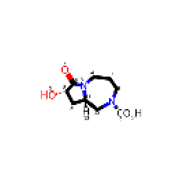 O=C(O)N1CCCN2C(=O)[C@@H](O)C[C@H]2C1